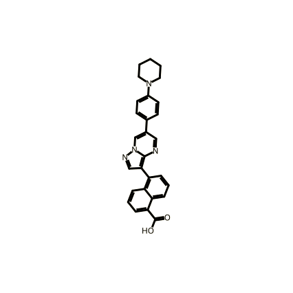 O=C(O)c1cccc2c(-c3cnn4cc(-c5ccc(N6CCCCC6)cc5)cnc34)cccc12